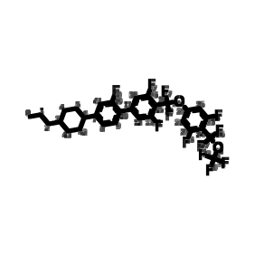 CCCC1CCC(c2ccc(-c3cc(F)c(C(F)(F)Oc4cc(F)c(C(F)(F)OC(F)(F)F)c(F)c4)c(F)c3)c(F)c2)CC1